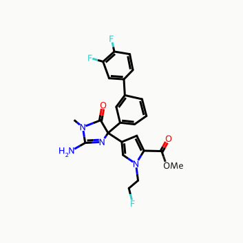 COC(=O)c1cc(C2(c3cccc(-c4ccc(F)c(F)c4)c3)N=C(N)N(C)C2=O)cn1CCF